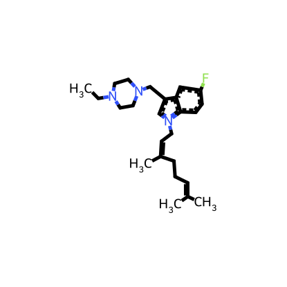 CCN1CCN(Cc2cn(CC=C(C)CCC=C(C)C)c3ccc(F)cc23)CC1